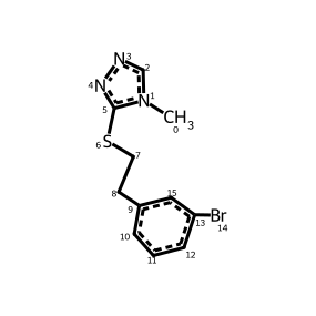 Cn1cnnc1SCCc1cccc(Br)c1